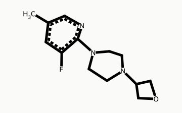 Cc1cnc(N2CCN(C3COC3)CC2)c(F)c1